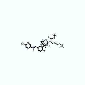 CC(C)(C)OC(=O)N(COCC[Si](C)(C)C)C1=N[C@](C)(c2cc(/C=C(\F)c3cnc(Cl)cn3)ccc2F)[C@@H]2C[C@]2(C(N)=O)S1